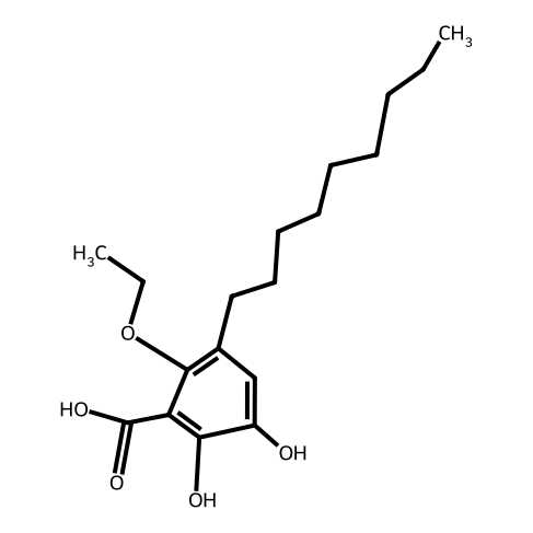 CCCCCCCCCc1cc(O)c(O)c(C(=O)O)c1OCC